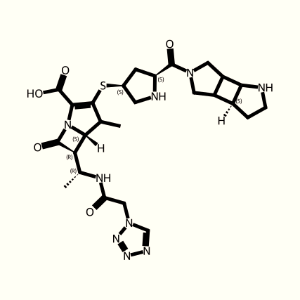 CC1C(S[C@@H]2CN[C@H](C(=O)N3CC4C(C3)[C@@H]3CCNC43)C2)=C(C(=O)O)N2C(=O)[C@H]([C@@H](C)NC(=O)Cn3cnnn3)[C@@H]12